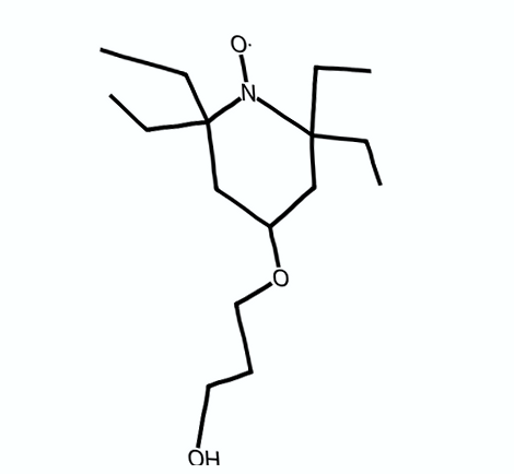 CCC1(CC)CC(OCCCO)CC(CC)(CC)N1[O]